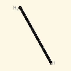 B=BB=BB=BB=BB=BB=BB=BB=BB=BB=BB=BB=BB=BB=BB=BB=BB=BB=BB=BB=BB=BB=BB=BB=BB=BB=BB=BB=BB=BB=BB=BB=BOC